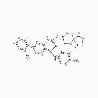 FC(F)(F)c1ccc(Nc2nc(CN3CCC4(CC3)OCCO4)nc3cc(-c4ncccc4C(F)(F)F)ccc23)cn1